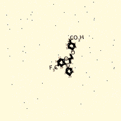 CC(CCOc1ccc(CC(=O)O)cc1)Oc1ccc(C(F)(F)F)cc1Oc1ccccc1